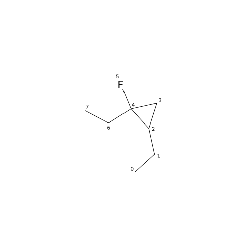 CCC1CC1(F)CC